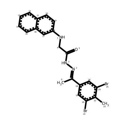 C/C(=N\NC(=O)CNc1ccc2ccccc2c1)c1cc(Br)c(C)c(Br)c1